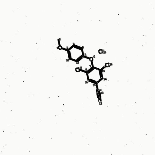 COc1ccc(Oc2c(Cl)cc([N+]#N)cc2Cl)cc1.[Cl-]